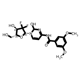 COc1cc(OC)cc(C(=O)NC2=NC(O)N([C@@H]3O[C@H](CO)[C@@H](O)C3(F)F)C=C2)c1